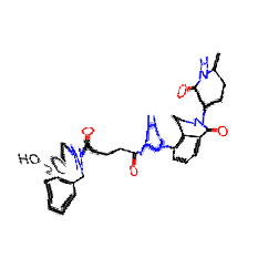 C=C1CCC(N2Cc3c(NC(=O)CCC(=O)N(CC(=O)O)Cc4ccccc4)cccc3C2=O)C(=O)N1